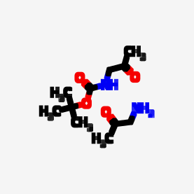 CC(=O)CN.CC(=O)CNC(=O)OC(C)(C)C